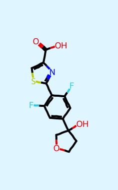 O=C(O)c1csc(-c2c(F)cc(C3(O)CCOC3)cc2F)n1